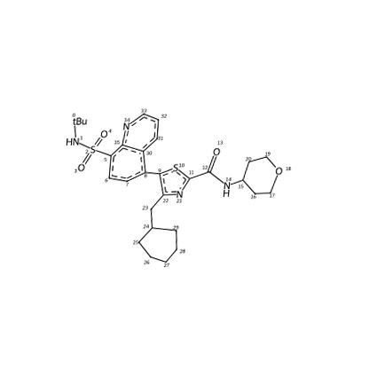 CC(C)(C)NS(=O)(=O)c1ccc(-c2sc(C(=O)NC3CCOCC3)nc2CC2CCCCC2)c2cccnc12